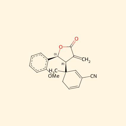 C=C1C(=O)O[C@H](c2ccccc2OC)[C@@H]1C1(C)C=C(C#N)C=CC1